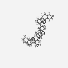 c1ccc2c(c1)ccc1c3cccc(-c4ccc5oc6nc(-c7cccc8c7oc7c9ccccc9ccc87)cnc6c5c4)c3oc21